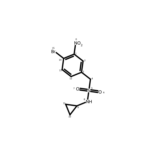 O=[N+]([O-])c1cc(CS(=O)(=O)NC2CC2)ccc1Br